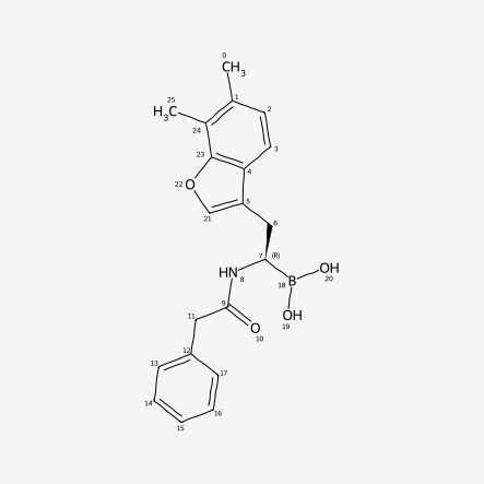 Cc1ccc2c(C[C@H](NC(=O)Cc3ccccc3)B(O)O)coc2c1C